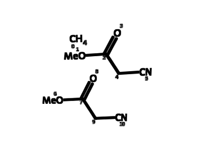 C.COC(=O)CC#N.COC(=O)CC#N